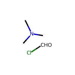 CN(C)C.O=CCl